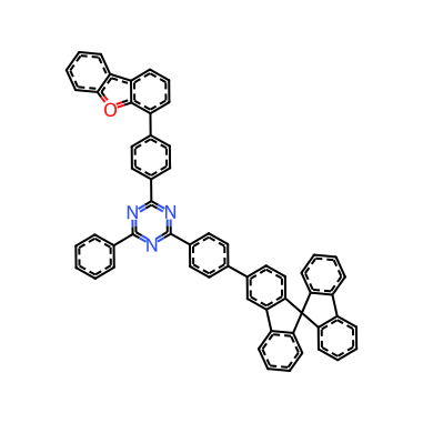 c1ccc(-c2nc(-c3ccc(-c4ccc5c(c4)-c4ccccc4C54c5ccccc5-c5ccccc54)cc3)nc(-c3ccc(-c4cccc5c4oc4ccccc45)cc3)n2)cc1